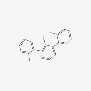 Cc1ccccc1-c1cccc(-c2ccccc2C)c1I